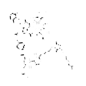 CC[C@H](C)C([C@@H](CC(=O)N1C[C@@H](N(C)C(=O)OCc2ccc(NC(=O)C(CCCNC(N)=O)NC(=O)[C@@H](NC(=O)CCCCCN3C(=O)CC(SCCCCCC(=O)O)C3=O)C(C)C)cc2)C[C@H]1[C@H](OC)[C@@H](C)C(=O)NCCc1c(F)cccc1F)OC)N(C)C(=O)[C@@H](NC(=O)[C@H](C(C)C)N(C)C)C(C)C